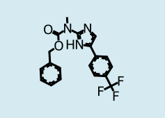 CN(C(=O)OCc1ccccc1)c1ncc(-c2ccc(C(F)(F)F)cc2)[nH]1